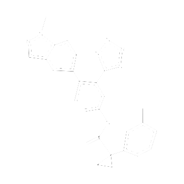 Cn1ncc2cc(-c3ccc(NC(=O)C4(c5cccc(Cl)c5)CC4)cc3-c3nnn[nH]3)ccc21